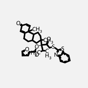 CC(C)[C@](OC(=O)c1ccco1)(C(=O)CSc1nc2ccccc2s1)C1(C)CCC2C(CCC3=CC(=O)C=CC32C)C1